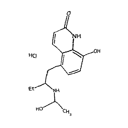 CCC(Cc1ccc(O)c2[nH]c(=O)ccc12)NC(C)O.Cl